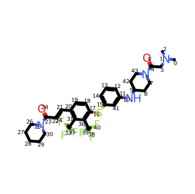 CN(C)CC(=O)N1CCC(Nc2cccc(Sc3ccc(/C=C/C(=O)N4CCCCC4)c(C(F)(F)F)c3C(F)(F)F)c2)CC1